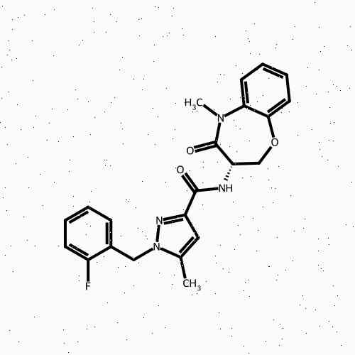 Cc1cc(C(=O)N[C@H]2COc3ccccc3N(C)C2=O)nn1Cc1ccccc1F